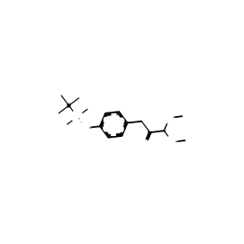 COC(OC)C(=O)Cc1ccc(O[Si](C)(C)C(C)(C)C)cc1